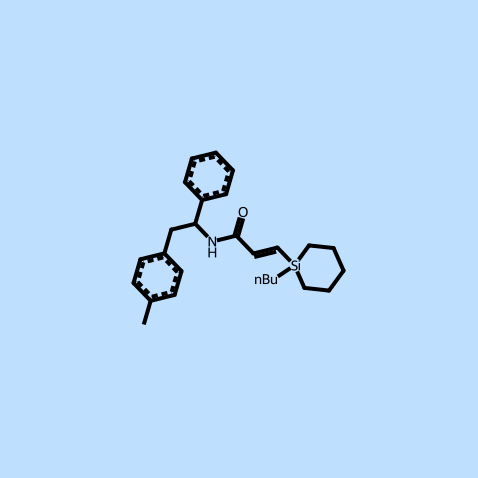 CCCC[Si]1(C=CC(=O)NC(Cc2ccc(C)cc2)c2ccccc2)CCCCC1